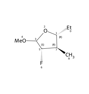 CC[C@H]1OC(OC)[C@@H](F)[C@@H]1C